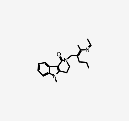 C/C=N\C(C)=C(/CCC)CN1CCc2c(c3ccccc3n2C)C1=O